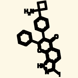 NC1(c2ccc(-c3c(-c4ccccc4)oc4c(ccc5c(I)n[nH]c54)c3=O)cc2)CCC1